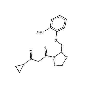 COc1ccccc1OCC1SCCN1C(=S)CC(=O)C1CC1